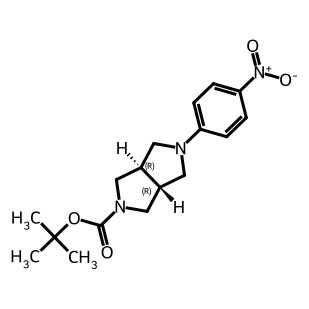 CC(C)(C)OC(=O)N1C[C@H]2CN(c3ccc([N+](=O)[O-])cc3)C[C@@H]2C1